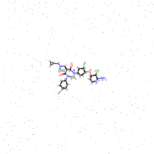 CN(C(=O)/C(=C\N(C=O)CC1CC1)C(=O)Nc1ccc(Oc2ccnc(N)c2Cl)c(F)c1)c1ccc(F)cc1